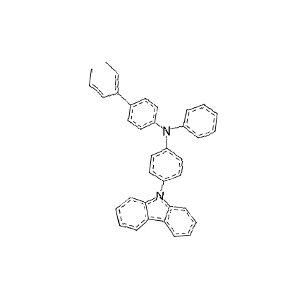 C/C=C\C(=C/C)c1ccc(N(c2ccccc2)c2ccc(-n3c4ccccc4c4ccccc43)cc2)cc1